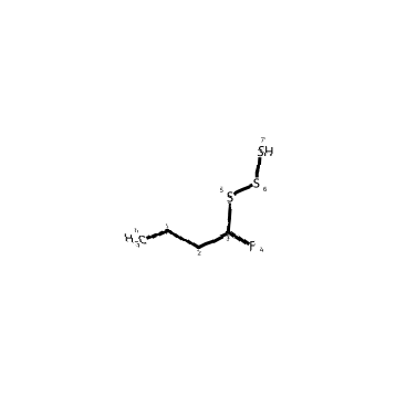 CCCC(F)SSS